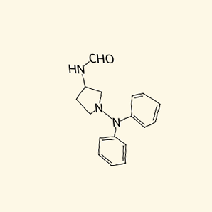 O=CNC1CCN(N(c2ccccc2)c2ccccc2)C1